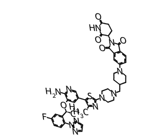 Cc1nc(N2CCN(CC3CCN(c4ccc5c(c4)C(=O)N(C4CCC(=O)NC4=O)C5=O)CC3)CC2)sc1-c1cnc(N)c(O[C@@H](C)c2cc(F)ccc2-n2nccn2)c1